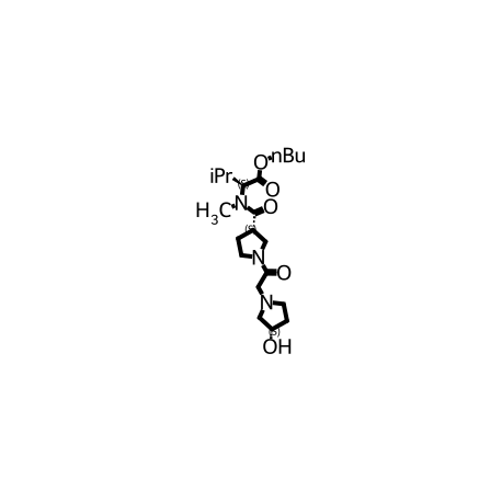 CCCCOC(=O)[C@H](C(C)C)N(C)C(=O)[C@H]1CCN(C(=O)CN2CC[C@H](O)C2)C1